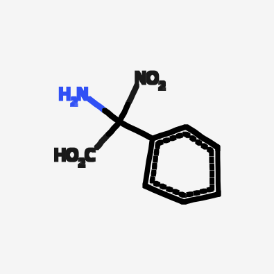 NC(C(=O)O)(c1ccccc1)[N+](=O)[O-]